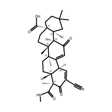 CNC(=O)[C@]1(C)C(=O)C(C#N)=C[C@]2(C)C3=CC(=O)[C@@H]4[C@@H]5CC(C)(C)CC[C@]5(C(=O)O)CC[C@@]4(C)[C@]3(C)CC[C@@H]12